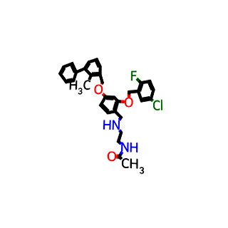 CC(=O)NCCNCc1ccc(OCc2cccc(-c3ccccc3)c2C)cc1OCc1cc(Cl)ccc1F